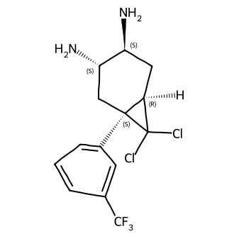 N[C@H]1C[C@H]2C(Cl)(Cl)[C@@]2(c2cccc(C(F)(F)F)c2)C[C@@H]1N